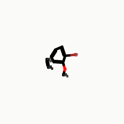 C=C.COc1ccccc1Br